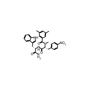 Cc1cc(C)cc(C(=O)N(C)[C@H](Cc2ccc([N+](=O)[O-])cc2)C(=O)N[C@@H](Cc2c[nH]c3ccccc23)C(N)=O)c1